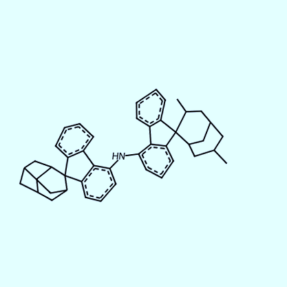 CC1CC2CC(C)C3(c4ccccc4-c4c(Nc5cccc6c5-c5ccccc5C65C6CC7CC(C6)CC5C7)cccc43)C(C1)C2